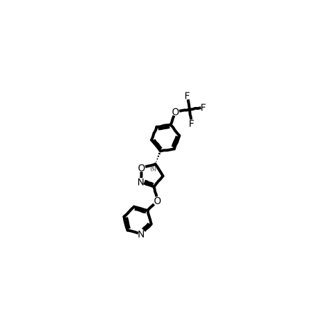 FC(F)(F)Oc1ccc([C@@H]2CC(Oc3cccnc3)=NO2)cc1